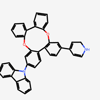 C1=CC(c2ccc3c(c2)Oc2ccccc2-c2ccccc2Oc2cc(-n4c5ccccc5c5ccccc54)ccc2-3)=CCN1